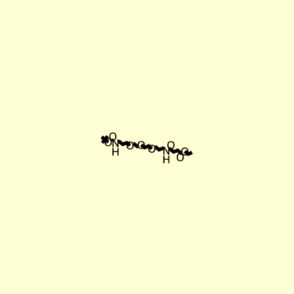 CCOC(=O)CCC(=O)NCCCOCCOCCOCCCNC(=O)OC(C)(C)C